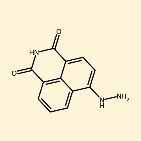 NNc1ccc2c3c(cccc13)C(=O)NC2=O